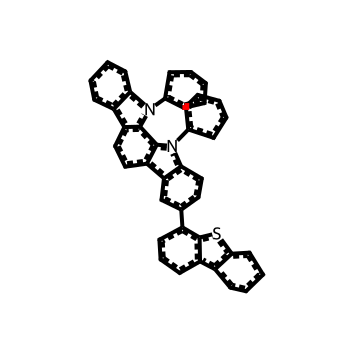 c1ccc(-n2c3ccccc3c3ccc4c5cc(-c6cccc7c6sc6ccccc67)ccc5n(-c5ccccc5)c4c32)cc1